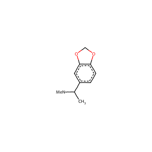 CNC(C)c1ccc2c(c1)OCO2